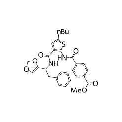 CCCCc1cc(C(=O)NC(Cc2ccccc2)C2=COCO2)c(NC(=O)c2ccc(C(=O)OC)cc2)s1